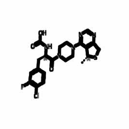 C[C@H]1SCc2ncnc(N3CCN(C(=O)[C@@H](Cc4ccc(Cl)c(F)c4)NC(=O)O)CC3)c21